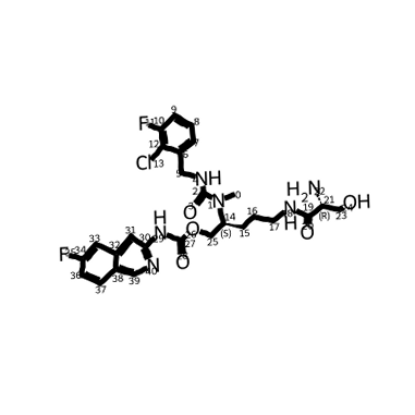 CN(C(=O)NCc1cccc(F)c1Cl)[C@@H](CCCNC(=O)[C@H](N)CO)COC(=O)Nc1cc2cc(F)ccc2cn1